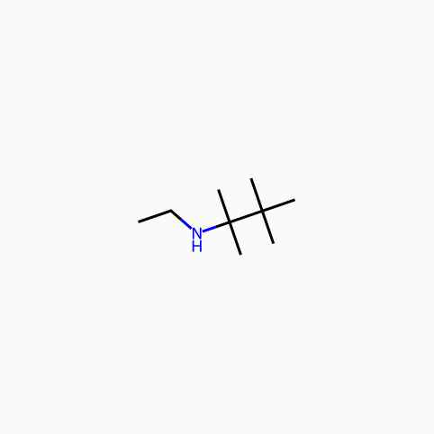 CCNC(C)(C)C(C)(C)C